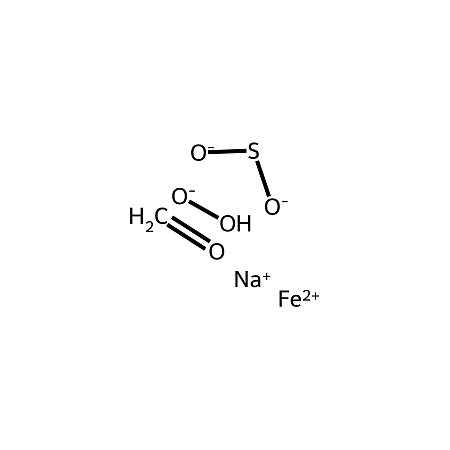 C=O.[Fe+2].[Na+].[O-]O.[O-]S[O-]